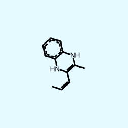 C/C=C\C1=C(C)Nc2ccccc2N1